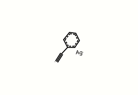 [Ag].[C]#Cc1ccccc1